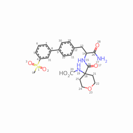 CS(=O)(=O)c1cccc(-c2ccc(CC(NC(=O)C3(NC(=O)O)CCOCC3)C(N)=O)cc2)c1